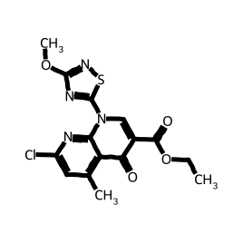 CCOC(=O)c1cn(-c2nc(OC)ns2)c2nc(Cl)cc(C)c2c1=O